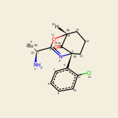 CC[C@@H](C)[C@H](N)C1=N[C@@]2(c3ccccc3Cl)CCC[C@@H](O1)C2=O